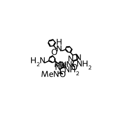 CNC(=O)c1nc(-c2cccc(CN)c2)cnc1N.CNC(=O)c1nc(-c2cccc(CNC(=O)c3ccccc3)c2)cnc1N